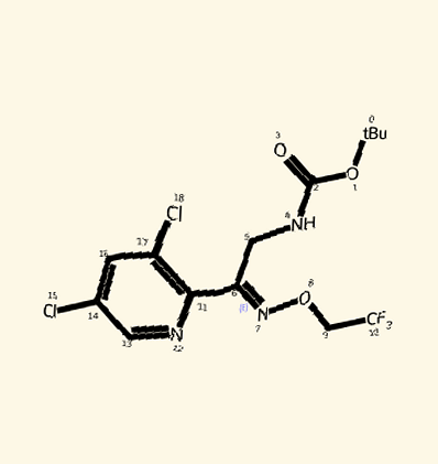 CC(C)(C)OC(=O)NC/C(=N\OCC(F)(F)F)c1ncc(Cl)cc1Cl